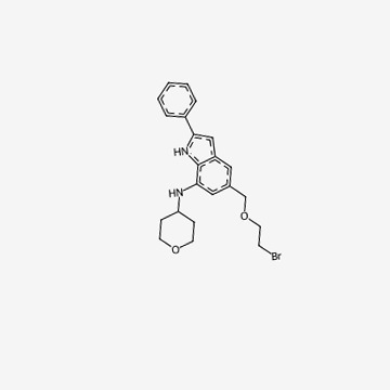 BrCCOCc1cc(NC2CCOCC2)c2[nH]c(-c3ccccc3)cc2c1